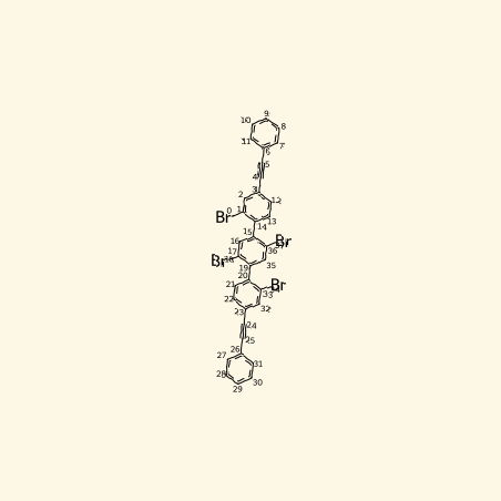 Brc1cc(C#Cc2ccccc2)ccc1-c1cc(Br)c(-c2ccc(C#Cc3ccccc3)cc2Br)cc1Br